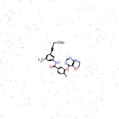 COCC#Cc1cc(NC(=O)c2ccc(C)c(Oc3ncnc4c3OCCN4)c2)cc(C(F)(F)F)c1